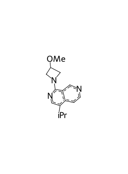 COC1CN(c2ncc(C(C)C)c3ccncc23)C1